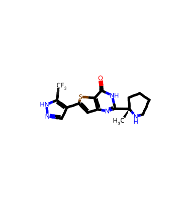 C[C@@]1(c2nc3cc(-c4cn[nH]c4C(F)(F)F)sc3c(=O)[nH]2)CCCCN1